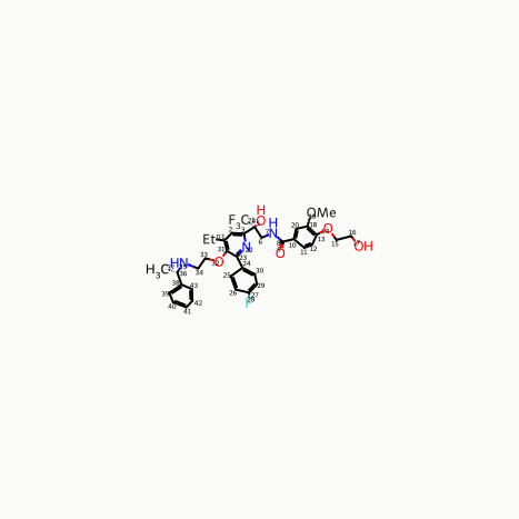 CCc1cc([C@@](O)(CNC(=O)c2ccc(OCCO)c(OC)c2)C(F)(F)F)nc(-c2ccc(F)cc2)c1OCCN[C@@H](C)c1ccccc1